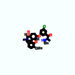 CC(NC(C)(C)C)C(=O)c1cccc(Cl)c1.COc1ccc2c3c1O[C@H]1C(=O)CC[C@@]4(O)[C@@H](C2)N(C)CC[C@]314